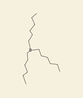 CCCCCCB(CCCCCC)CCCCCC